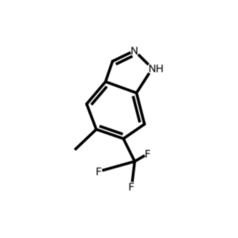 Cc1cc2cn[nH]c2cc1C(F)(F)F